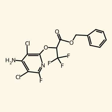 Nc1c(Cl)c(F)nc(OC(C(=O)OCc2ccccc2)C(F)(F)F)c1Cl